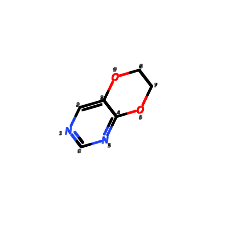 c1ncc2c(n1)OCCO2